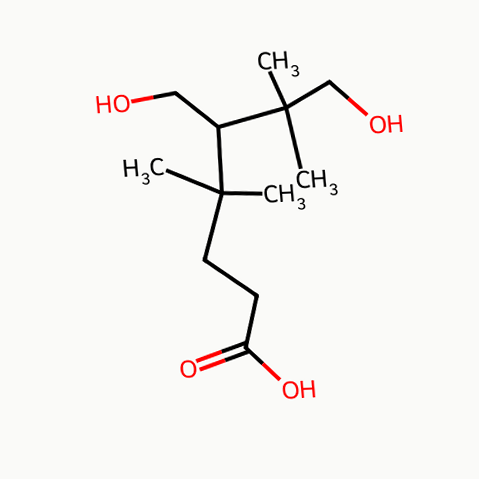 CC(C)(CO)C(CO)C(C)(C)CCC(=O)O